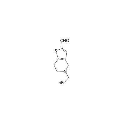 C[C](C)CN1CCc2sc(C=O)cc2C1